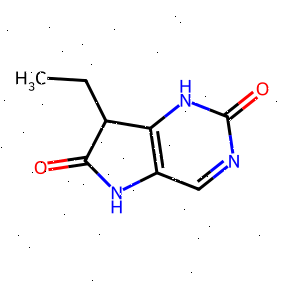 CCC1C(=O)Nc2cnc(=O)[nH]c21